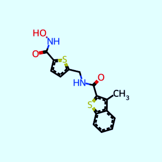 Cc1c(C(=O)NCc2ccc(C(=O)NO)s2)sc2ccccc12